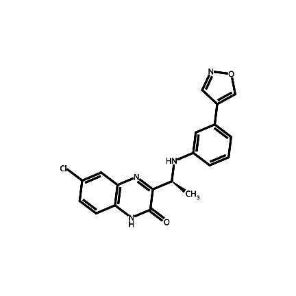 C[C@H](Nc1cccc(-c2cnoc2)c1)c1nc2cc(Cl)ccc2[nH]c1=O